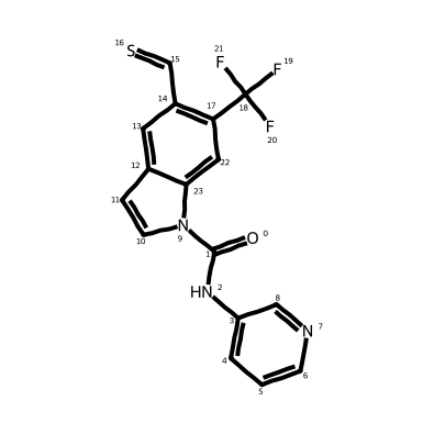 O=C(Nc1cccnc1)n1ccc2cc(C=S)c(C(F)(F)F)cc21